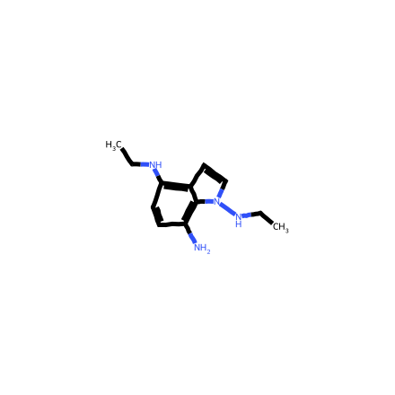 CCNc1ccc(N)c2c1ccn2NCC